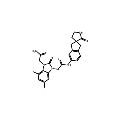 Cc1cc(C)c2c(c1)n(CC(=O)Nc1ccc3c(c1)CC1(CCNC1=O)C3)c(=O)n2CC(N)=O